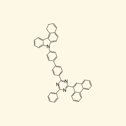 C1=Cc2ccc3c(c2CC1)c1ccccc1n3-c1ccc(-c2ccc(-c3nc(-c4ccccc4)nc(-c4cc5ccccc5c5ccccc45)n3)cc2)cc1